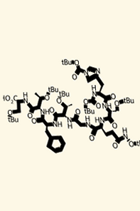 C[C@@H](OC(C)(C)C)[C@H](NC(=O)CNC(=O)[C@H](CCC(=O)NOC(C)(C)C)NC(=O)[C@@H](COC(C)(C)C)NC(=O)[C@H](Cc1cn(C(=O)OC(C)(C)C)cn1)NC(=O)OC(C)(C)C)C(=O)N[C@@H](Cc1ccccc1)C(=O)N[C@H](C(=O)N[C@@H](COC(C)(C)C)C(=O)O)[C@@H](C)OC(C)(C)C